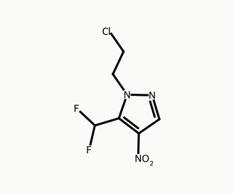 O=[N+]([O-])c1cnn(CCCl)c1C(F)F